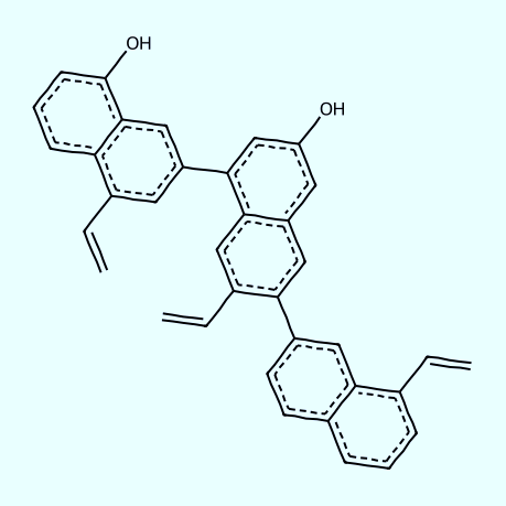 C=Cc1cc2c(-c3cc(C=C)c4cccc(O)c4c3)cc(O)cc2cc1-c1ccc2cccc(C=C)c2c1